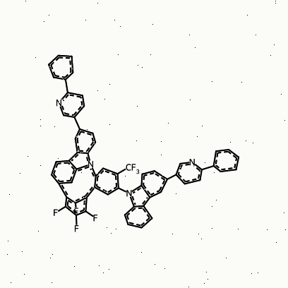 Fc1c(F)c2c(F)c(c1F)c1cc(-n3c4ccccc4c4cc(-c5ccc(-c6ccccc6)nc5)ccc43)c(C(F)(F)F)cc1n1c3ccc(-c4ccc(-c5ccccc5)nc4)cc3c3ccc2cc31